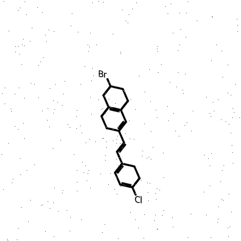 ClC1=CC=C(/C=C/C2=CC3=C(CC2)CC(Br)CC3)CC1